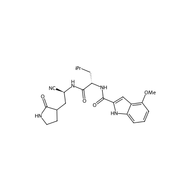 COc1cccc2[nH]c(C(=O)N[C@@H](CC(C)C)C(=O)N[C@H](C#N)CC3CCNC3=O)cc12